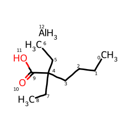 CCCCC(CC)(CC)C(=O)O.[AlH3]